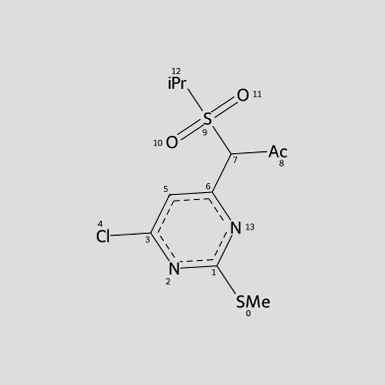 CSc1nc(Cl)cc(C(C(C)=O)S(=O)(=O)C(C)C)n1